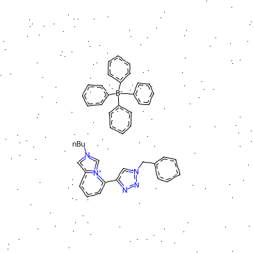 CCCCn1cc2cccc(-c3cn(Cc4ccccc4)nn3)[n+]2c1.c1ccc([B-](c2ccccc2)(c2ccccc2)c2ccccc2)cc1